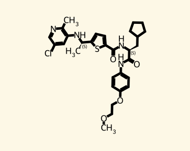 COCCOc1ccc(NC(=O)[C@H](CC2CCCC2)NC(=O)c2ccc([C@H](C)Nc3cc(Cl)cnc3C)s2)cc1